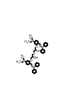 CCN(CC)c1ccc(/C=N/N(c2ccccc2)c2ccccc2)c(OCC(O)CSCC(O)COc2cc(N(CC)CC)ccc2/C=N/N(c2ccccc2)c2ccccc2)c1